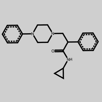 O=C(NC1CC1)C(CN1CCN(c2ccccc2)CC1)c1ccccc1